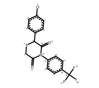 O=C1CSC(c2ccc(Cl)cc2)C(=O)N1c1ccc(C(F)(F)F)cc1